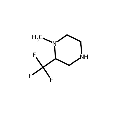 CN1CCNCC1C(F)(F)F